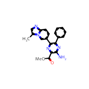 COC(=O)c1nc(-c2ccc3ncc(C)n3c2)c(-c2ccccc2)nc1N